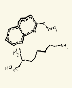 NCCCC[C@H](N)C(=O)O.O=[N+]([O-])Oc1ccc2ccccc2n1